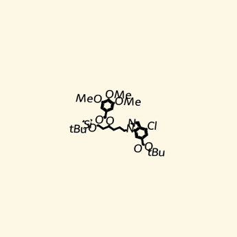 COc1cc(C(=O)OC(CCCn2ncc3c(Cl)cc(C(=O)OC(C)(C)C)cc32)CCO[Si](C)(C)C(C)(C)C)cc(OC)c1OC